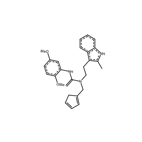 C=C(Nc1cc(OC)ccc1OC)N(CCc1c(C)[nH]c2ccccc12)CC1=CC=CC1